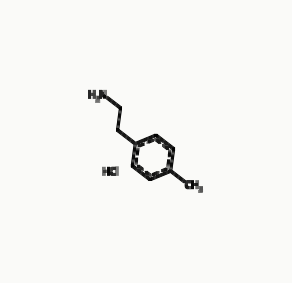 Cc1ccc(CCN)cc1.Cl